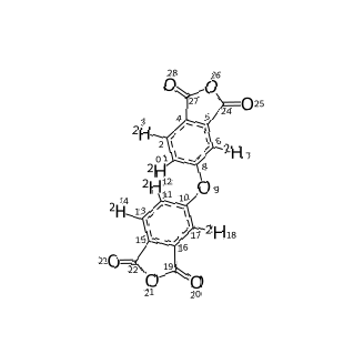 [2H]c1c([2H])c2c(c([2H])c1Oc1c([2H])c([2H])c3c(c1[2H])C(=O)OC3=O)C(=O)OC2=O